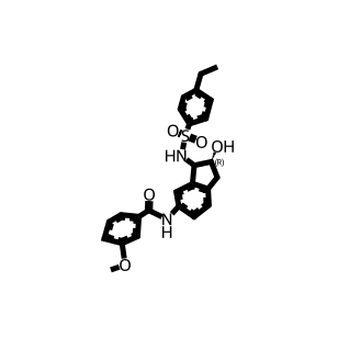 CCc1ccc(S(=O)(=O)NC2c3cc(NC(=O)c4cccc(OC)c4)ccc3C[C@H]2O)cc1